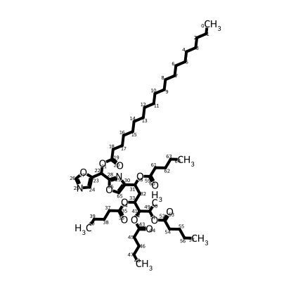 CCCCCCCCCCCCCCCCCCCC(=O)OC(c1cnco1)c1nc(C(CC(OC(=O)CCCC)C(OC(=O)CCCC)C(C)OC(=O)CCCC)OC(=O)CCCC)co1